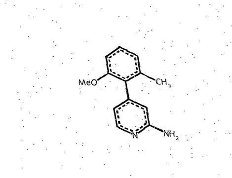 COc1cccc(C)c1-c1ccnc(N)c1